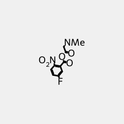 CNCC(=O)OC(=O)c1cc(F)ccc1[N+](=O)[O-]